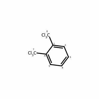 ClC(Cl)(Cl)c1ccccc1C(Cl)(Cl)Cl